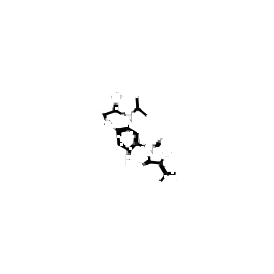 CC(C)=C1OC(=O)N(c2cc3c(cc2F)OCC(=O)N3C(C)C)C1=O